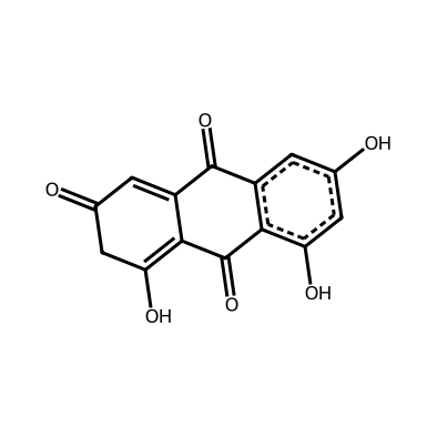 O=C1C=C2C(=O)c3cc(O)cc(O)c3C(=O)C2=C(O)C1